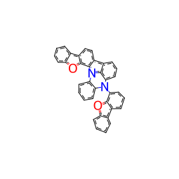 c1ccc2c(c1)N(c1cccc3c1oc1ccccc13)c1cccc3c4ccc5c6ccccc6oc5c4n-2c13